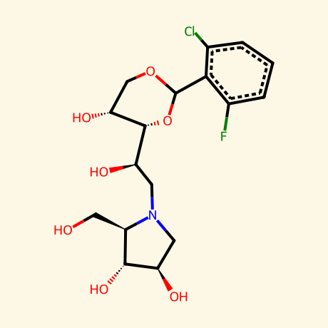 OC[C@@H]1[C@@H](O)[C@H](O)CN1C[C@@H](O)[C@H]1OC(c2c(F)cccc2Cl)OC[C@H]1O